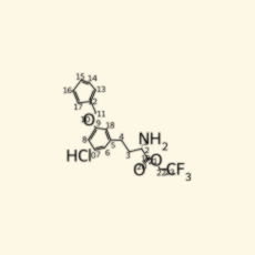 Cl.N[C@@H](CCc1cccc(OCc2ccccc2)c1)C(=O)OCC(F)(F)F